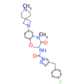 CN1CCC2(CC1)CN(c1ccc3c(c1)N(C)C(=O)C(NC(=O)n1cc(Cc4ccc(F)cc4)cn1)CO3)C2